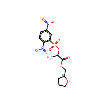 CC(OS(=O)(=O)c1cc([N+](=O)[O-])ccc1[N+](=O)[O-])C(=O)OC[C@@H]1CCCO1